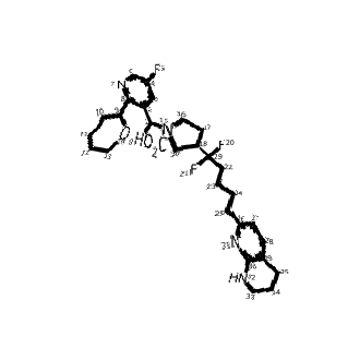 O=C(O)C(c1cc(F)cnc1C1CCCCO1)N1CC[C@@H](C(F)(F)CCCCc2ccc3c(n2)NCCC3)C1